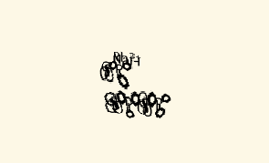 O=S(=O)([O-])c1cccc(P(c2ccccc2)c2ccccc2)c1.O=S(=O)([O-])c1cccc(P(c2ccccc2)c2ccccc2)c1.O=S(=O)([O-])c1cccc(P(c2ccccc2)c2ccccc2)c1.[NaH].[Rh+3]